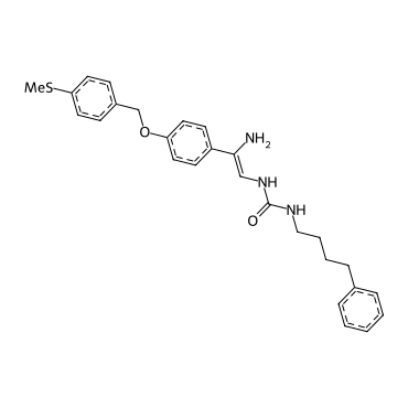 CSc1ccc(COc2ccc(/C(N)=C/NC(=O)NCCCCc3ccccc3)cc2)cc1